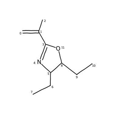 C=C(C)C1=NC(CC)C(CC)O1